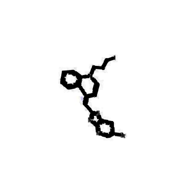 Brc1cnc2nc(/C=C3\C=CN(CCCI)c4ccccc43)sc2c1